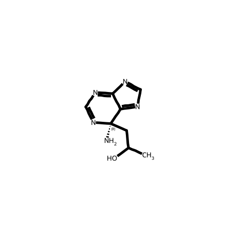 CC(O)C[C@@]1(N)N=CN=C2N=CN=C21